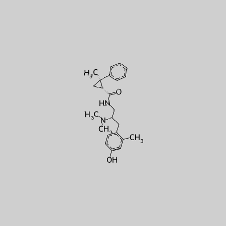 Cc1cc(O)ccc1CC(CNC(=O)[C@@H]1C[C@@]1(C)c1ccccc1)N(C)C